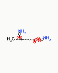 CCCCCC[C@H](CCCCCCCCCCC(=O)OCC(=O)Oc1ccc(N)cc1)OC(=O)c1ccc(N)cc1